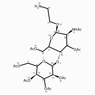 CC(=O)N[C@H]1C(OC(C)=O)[C@H](O[C@@H]2OC(COC(C)=O)[C@H](OC(C)=O)C(OC(C)=O)[C@@H]2OC(C)=O)C(COC(C)=O)O[C@H]1OCCN